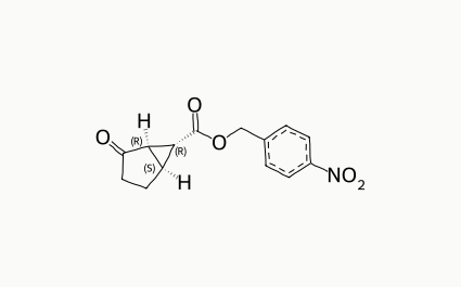 O=C1CC[C@H]2[C@@H]1[C@@H]2C(=O)OCc1ccc([N+](=O)[O-])cc1